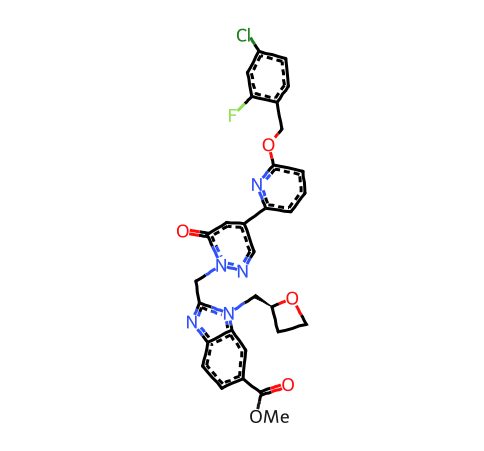 COC(=O)c1ccc2nc(Cn3ncc(-c4cccc(OCc5ccc(Cl)cc5F)n4)cc3=O)n(C[C@@H]3CCO3)c2c1